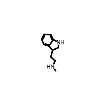 [CH2]NCCC1CNc2ccccc21